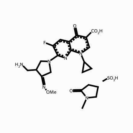 CN1CCCC1=O.CO/N=C1\CN(c2nc3c(cc2F)c(=O)c(C(=O)O)cn3C2CC2)CC1CN.CS(=O)(=O)O